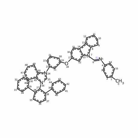 Cc1ccc(/N=C/n2c3ccccc3c3ccc(Oc4cccc(-n5c[n+](-c6c(-c7ccccc7)cccc6-c6ccccc6)c6ccccc65)c4)cc32)cc1